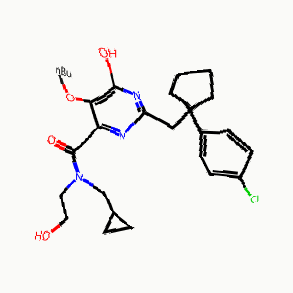 CCCCOc1c(O)nc(CC2(c3ccc(Cl)cc3)CCCC2)nc1C(=O)N(CCO)CC1CC1